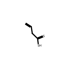 C=C[CH]C(=S)S